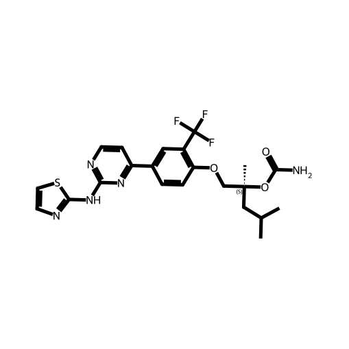 CC(C)C[C@@](C)(COc1ccc(-c2ccnc(Nc3nccs3)n2)cc1C(F)(F)F)OC(N)=O